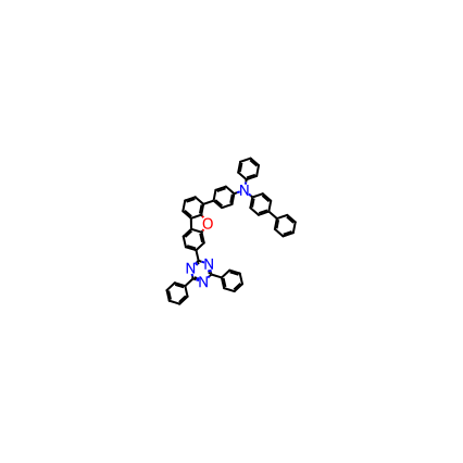 c1ccc(-c2ccc(N(c3ccccc3)c3ccc(-c4cccc5c4oc4cc(-c6nc(-c7ccccc7)nc(-c7ccccc7)n6)ccc45)cc3)cc2)cc1